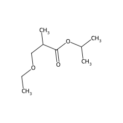 CCOCC(C)C(=O)OC(C)C